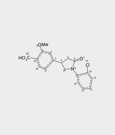 COc1cc(C2CC(=O)N(c3ccccc3Cl)C2)ccc1C(=O)O